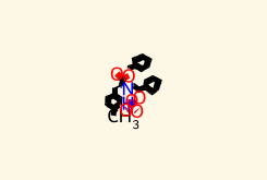 Cc1ccc(C[C@H](NCC(=O)c2ccccc2)C(=O)OCc2ccccc2)cc1OP(=O)=O